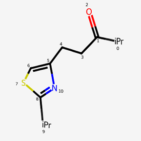 CC(C)C(=O)CCc1csc(C(C)C)n1